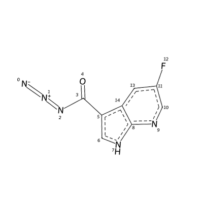 [N-]=[N+]=NC(=O)c1c[nH]c2ncc(F)cc12